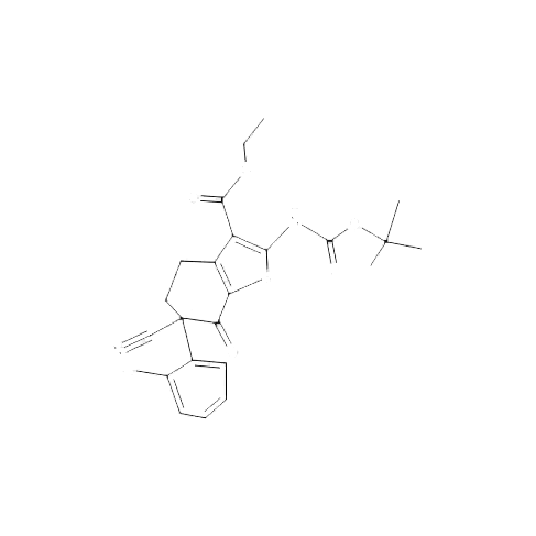 CCOC(=O)c1c(NC(=O)OC(C)(C)C)sc2c1CCC(C#N)(c1ccccc1Cl)C2=O